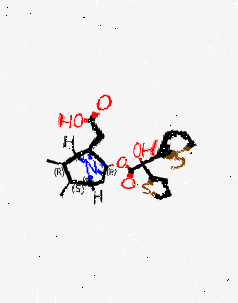 C[C@@H]1[C@H](C)[C@H]2C[C@@H](OC(=O)C(O)(c3cccs3)c3cccs3)C3(CC(=O)O)[C@@H]1[N+]23C